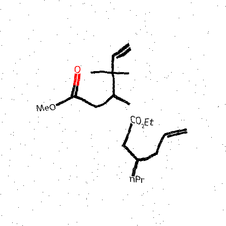 C=CC(C)(C)C(C)CC(=O)OC.C=CCC(CCC)CC(=O)OCC